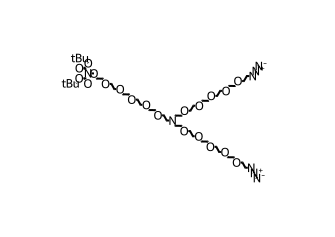 CC(C)(C)OC(=O)N(OCCOCCOCCOCCOCCOCCN(CCOCCOCCOCCOCCOCCN=[N+]=[N-])CCOCCOCCOCCOCCOCCN=[N+]=[N-])C(=O)OC(C)(C)C